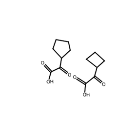 O=C(O)C(=O)C1CCC1.O=C(O)C(=O)C1CCCC1